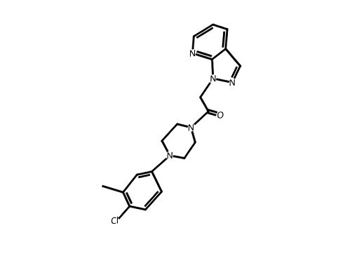 Cc1cc(N2CCN(C(=O)Cn3ncc4cccnc43)CC2)ccc1Cl